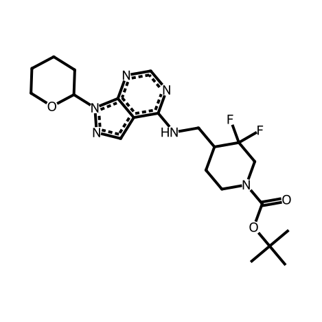 CC(C)(C)OC(=O)N1CCC(CNc2ncnc3c2cnn3C2CCCCO2)C(F)(F)C1